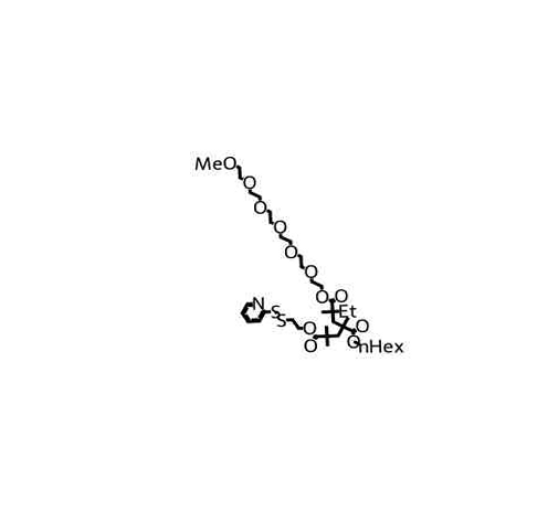 CCCCCCOC(=O)C(C)(CC(C)(C)C(=O)OCCSSc1ccccn1)CC(C)(CC)C(=O)OCCOCCOCCOCCOCCOCCOC